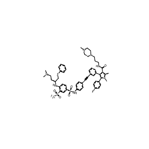 Cc1c(C(=O)NCCCN2CCN(C)CC2)c(-c2cccc(C#Cc3ccc(NS(=O)(=O)c4ccc(NC(CCN(C)C)CSc5ccccc5)c(S(=O)(=O)C(F)(F)F)c4)cc3)c2)c(-c2ccc(F)cc2)n1C